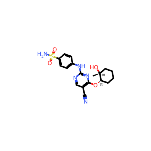 C[C@@]1(O)CCCC[C@@H]1Oc1nc(Nc2ccc(S(N)(=O)=O)cc2)ncc1C#N